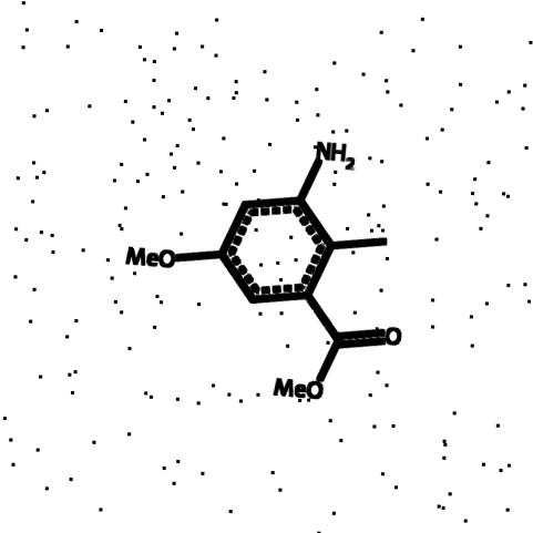 COC(=O)c1cc(OC)cc(N)c1C